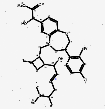 CCCc1cc(Cl)ccc1C1COc2ccc(C(O)C(=O)OC)cc2N(CC2C(C)CC2C(O)/C=C/CC(C)N(C)C(C)=O)C1